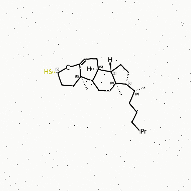 CC(C)CCC[C@@H](C)[C@H]1CC[C@H]2[C@@H]3CC=C4C[C@@H](S)CC[C@]4(C)C3CC[C@]12C